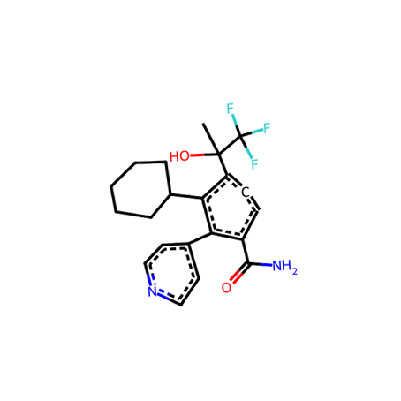 CC(O)(c1ccc(C(N)=O)c(-c2ccncc2)c1C1CCCCC1)C(F)(F)F